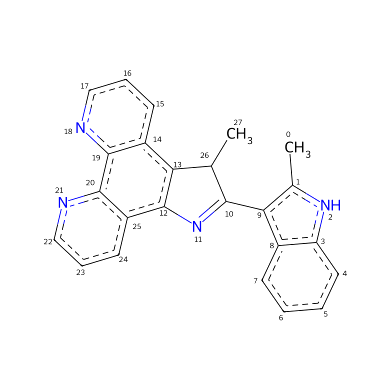 Cc1[nH]c2ccccc2c1C1=Nc2c(c3cccnc3c3ncccc23)C1C